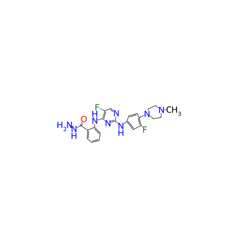 CN1CCN(c2ccc(Nc3ncc(F)c(Nc4ccccc4C(=O)NN)n3)cc2F)CC1